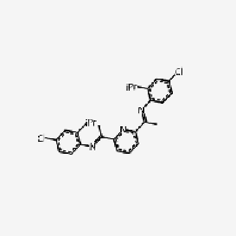 CC(=Nc1ccc(Cl)cc1C(C)C)c1cccc(C(C)=Nc2ccc(Cl)cc2C(C)C)n1